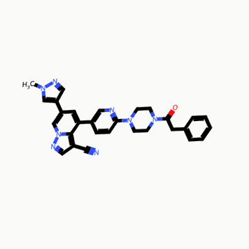 Cn1cc(-c2cc(-c3ccc(N4CCN(C(=O)Cc5ccccc5)CC4)nc3)c3c(C#N)cnn3c2)cn1